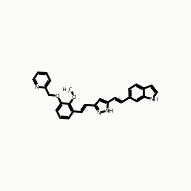 COc1c(/C=C/c2cc(/C=C/c3ccc4cc[nH]c4c3)[nH]n2)cccc1OCc1ccccn1